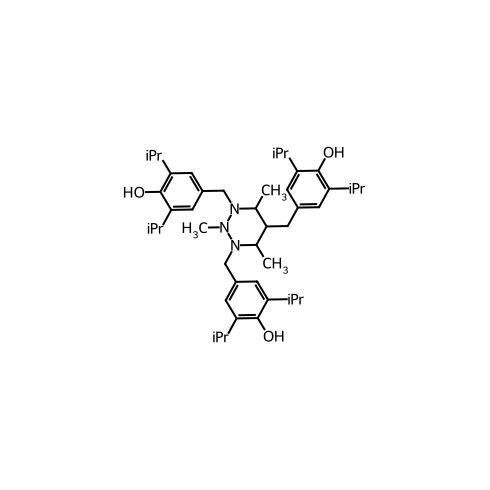 CC(C)c1cc(CC2C(C)N(Cc3cc(C(C)C)c(O)c(C(C)C)c3)N(C)N(Cc3cc(C(C)C)c(O)c(C(C)C)c3)C2C)cc(C(C)C)c1O